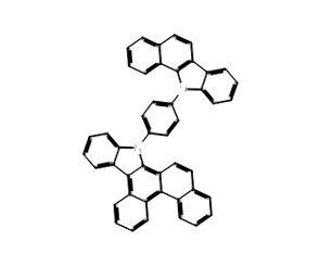 c1ccc2c(c1)ccc1c2c2ccccc2c2c3ccccc3n(-c3ccc(-n4c5ccccc5c5ccc6ccccc6c54)cc3)c12